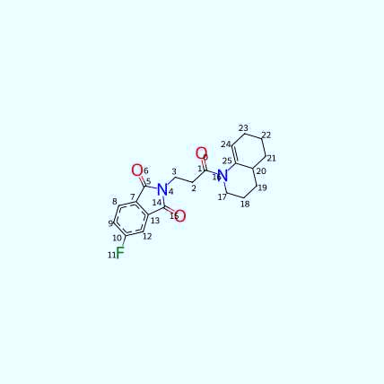 O=C(CCN1C(=O)c2ccc(F)cc2C1=O)N1CCCC2CCCC=C21